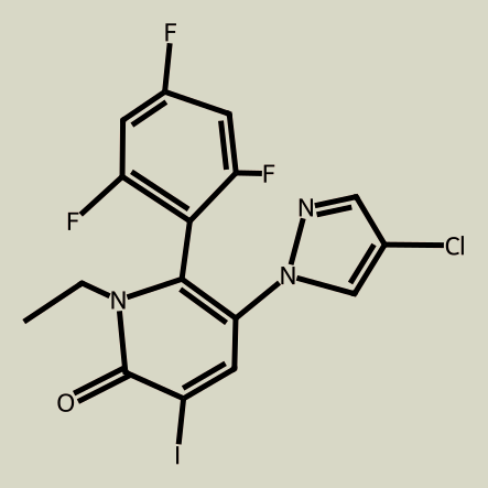 CCn1c(-c2c(F)cc(F)cc2F)c(-n2cc(Cl)cn2)cc(I)c1=O